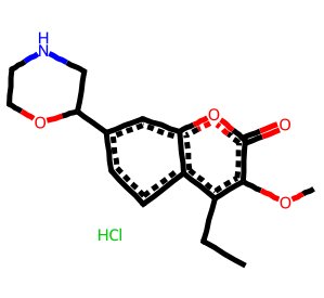 CCc1c(OC)c(=O)oc2cc(C3CNCCO3)ccc12.Cl